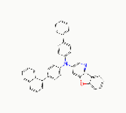 c1ccc(-c2ccc(N(c3ccc(-c4cccc5ccccc45)cc3)c3cnc4c(c3)oc3ccccc34)cc2)cc1